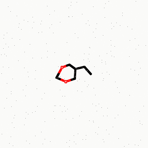 CC[C]1COCOC1